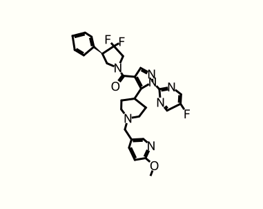 COc1ccc(CN2CCC(c3c(C(=O)N4C[C@@H](c5ccccc5)C(F)(F)C4)cnn3-c3ncc(F)cn3)CC2)cn1